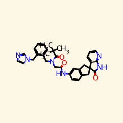 CC(C)(C)C(=O)N(CC(=O)Nc1ccc2c(c1)CC1(C2)C(=O)Nc2ncccc21)Cc1ccccc1Cn1ccnc1